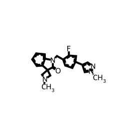 CN1CC2(C1)C(=O)N(Cc1ccc(-c3cnn(C)c3)cc1F)c1ccccc12